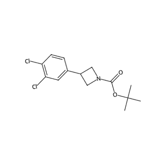 CC(C)(C)OC(=O)N1CC(c2ccc(Cl)c(Cl)c2)C1